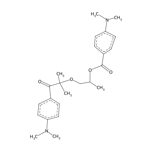 CC(COC(C)(C)C(=O)c1ccc(N(C)C)cc1)OC(=O)c1ccc(N(C)C)cc1